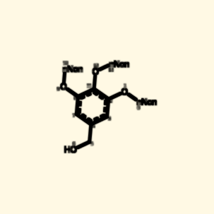 CCCCCCCCCOc1cc(CO)cc(OCCCCCCCCC)c1OCCCCCCCCC